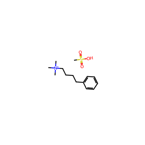 CS(=O)(=O)O.C[N+](C)(C)CCCCc1ccccc1